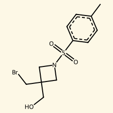 Cc1ccc(S(=O)(=O)N2CC(CO)(CBr)C2)cc1